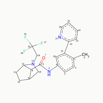 Cc1ccc(NC(=O)C2C3CCC2N(CC(F)(F)F)C3)cc1-c1ccccn1